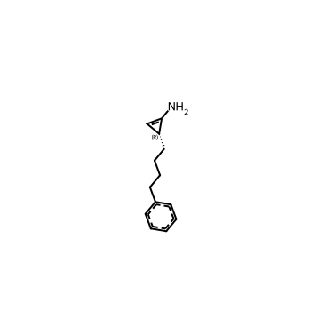 NC1=C[C@H]1CCCCc1ccccc1